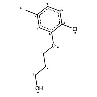 OCCCOc1cc(I)ccc1Cl